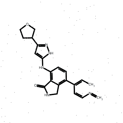 C=N/C=C\C(=C/C)c1ccc(Nc2cc(C3CCOC3)n[nH]2)c2c1CNC2=O